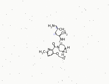 C=C(/C=C\C(C)=C/N)NC[C@@H]1C[C@H]2C[C@H]2CN1C(=O)c1nc(C)ccc1OCC1CC1